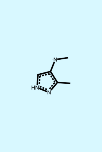 C[N]c1c[nH]nc1C